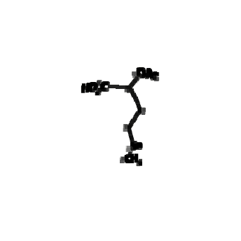 C[Se]CCC(OC(C)=O)C(=O)O